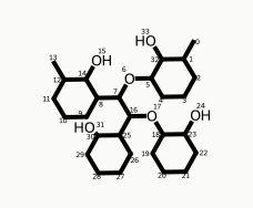 CC1CCCC(O[C](C2CCCC(C)C2O)C(OC2CCCCC2O)C2CCCCC2O)C1O